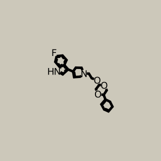 Fc1ccc2c(C3=CCN(CCOC4COC(C5=CC=CCC5)CO4)CC3)c[nH]c2c1